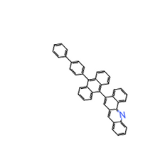 c1ccc(-c2ccc(-c3c4ccccc4c(-c4cc5cc6ccccc6nc5c5ccccc45)c4ccccc34)cc2)cc1